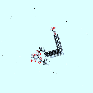 C=C.C=C.C=C.C=C.C=C.C=C.C=C.C=C.C=C.C=C.C=C.C=C.C=C.C=C.C=C(C)C(=O)OCC(C)OC(=O)C(=C)C.OCCO.OCCO